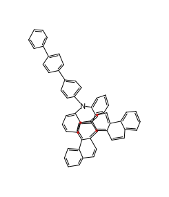 c1ccc(-c2ccc(-c3ccc(N(c4ccccc4-c4ccc5c(ccc6ccccc65)c4)c4ccccc4-c4ccc5c(ccc6ccccc65)c4)cc3)cc2)cc1